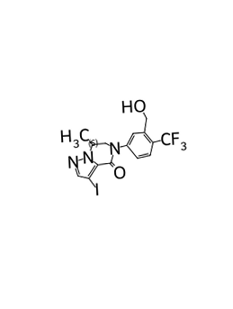 C[C@H]1CN(c2ccc(C(F)(F)F)c(CO)c2)C(=O)c2c(I)cnn21